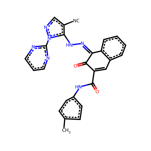 [C-]#[N+]c1cnn(-c2ncccn2)c1N/N=C1\C(=O)C(C(=O)Nc2ccc(C)cc2)=Cc2ccccc21